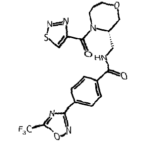 O=C(NC[C@H]1COCCN1C(=O)c1csnn1)c1ccc(-c2noc(C(F)(F)F)n2)cc1